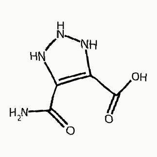 NC(=O)C1=C(C(=O)O)NNN1